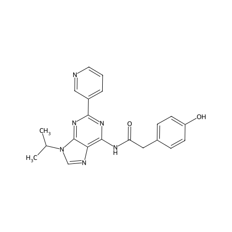 CC(C)n1cnc2c(NC(=O)Cc3ccc(O)cc3)nc(-c3cccnc3)nc21